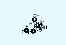 CN1CCC(Nc2nc(Nc3ccc(Oc4cc(F)cc(F)c4)cc3)c3c(=O)[nH]cc(Br)c3n2)CC1